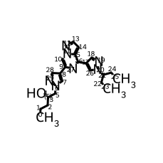 CCC[C@H](O)Cn1cc(-c2cn3nccc3c(-c3cnn(C(CC)CC)c3)n2)cn1